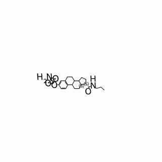 CCCNC(=O)[C@H]1CCC2C3CCc4cc(OS(N)(=O)=O)ccc4C3CC[C@@]21C